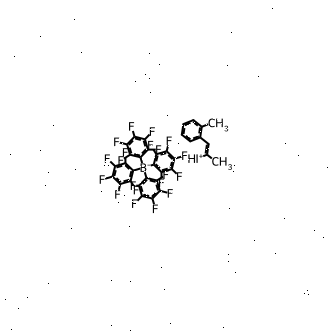 CC([IH+])=Cc1ccccc1C.Fc1c(F)c(F)c([B-](c2c(F)c(F)c(F)c(F)c2F)(c2c(F)c(F)c(F)c(F)c2F)c2c(F)c(F)c(F)c(F)c2F)c(F)c1F